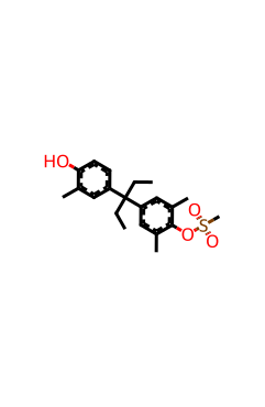 CCC(CC)(c1ccc(O)c(C)c1)c1cc(C)c(OS(C)(=O)=O)c(C)c1